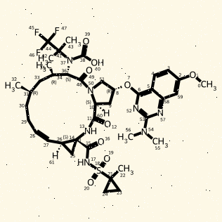 COc1ccc2c(O[C@@H]3C[C@H]4C(=O)N[C@]5(C(=O)NS(=O)(=O)C6(C)CC6)C[C@H]5C=CCC[C@@H](C)C[C@@H](C)[C@H](N(C(=O)O)C(C)(C)C(F)(F)F)C(=O)N4C3)nc(N(C)C)nc2c1